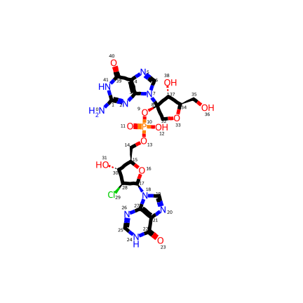 Nc1nc2c(ncn2[C@@]2(OP(=O)(O)OC[C@H]3O[C@@H](n4cnc5c(=O)[nH]cnc54)[C@@H](Cl)[C@@H]3O)CO[C@H](CO)[C@H]2O)c(=O)[nH]1